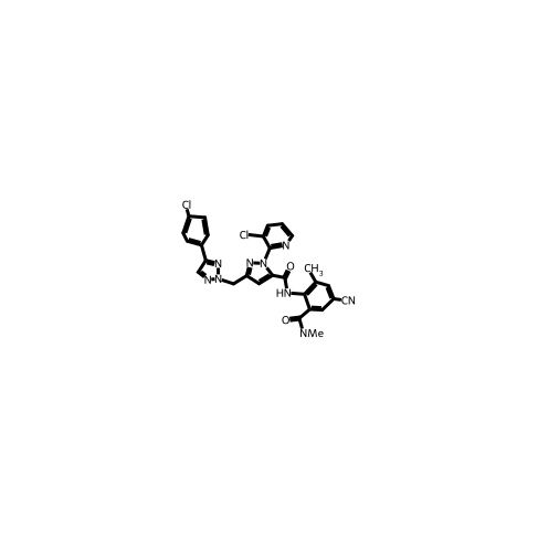 CNC(=O)c1cc(C#N)cc(C)c1NC(=O)c1cc(Cn2ncc(-c3ccc(Cl)cc3)n2)nn1-c1ncccc1Cl